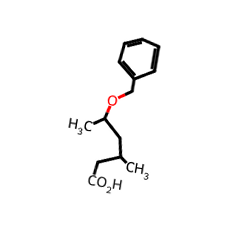 CC(CC(=O)O)CC(C)OCc1ccccc1